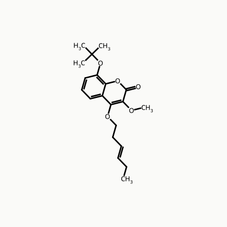 CCC=CCCOc1c(OC)c(=O)oc2c(OC(C)(C)C)cccc12